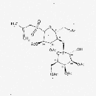 C=C(C)CS(=O)(=O)C1O[C@H](COC(C)=O)[C@@H](O[C@@H]2O[C@H](COC(C)=O)[C@H](OC(C)=O)[C@H](OC(C)=O)[C@H]2O)[C@H](OC(C)=O)[C@H]1OC(C)=O